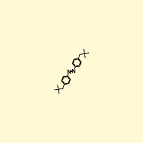 CC(C)(C)Cc1ccc(N=Nc2ccc(CC(C)(C)C)cc2)cc1